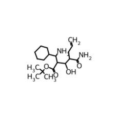 C=CCC(C(N)=O)C(O)C(C(=O)OC(C)(C)C)C(N)C1CCCCC1